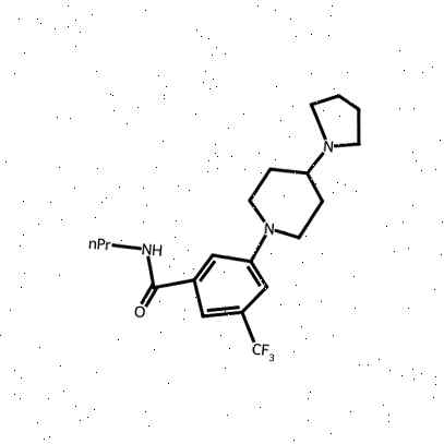 CCCNC(=O)c1cc(N2CCC(N3CCCC3)CC2)cc(C(F)(F)F)c1